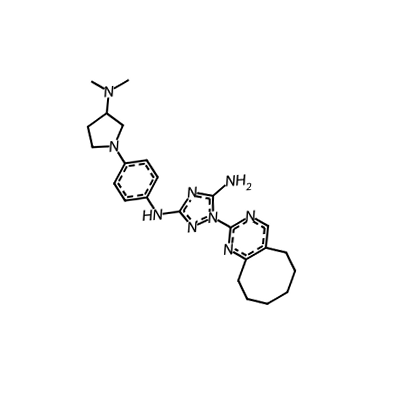 CN(C)C1CCN(c2ccc(Nc3nc(N)n(-c4ncc5c(n4)CCCCCC5)n3)cc2)C1